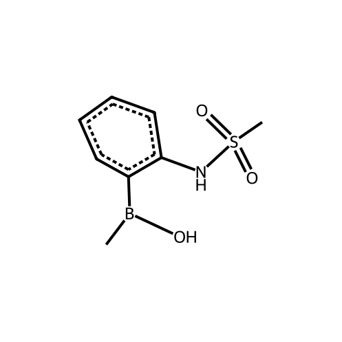 CB(O)c1ccccc1NS(C)(=O)=O